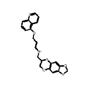 c1cc(OCCCNCC2COc3cc4c(cc3O2)OCO4)c2cccnc2c1